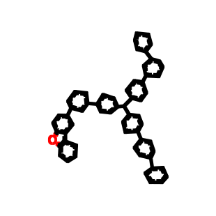 c1ccc(-c2ccc(-c3ccc(C(c4ccc(-c5cccc(-c6ccccc6)c5)cc4)c4ccc(-c5cccc(-c6ccc7oc8ccccc8c7c6)c5)cc4)cc3)cc2)cc1